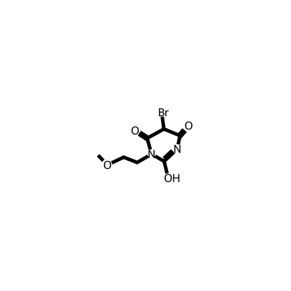 COCCN1C(=O)C(Br)C(=O)N=C1O